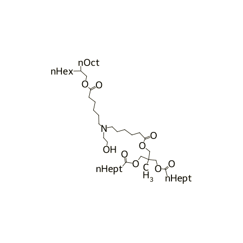 CCCCCCCCC(CCCCCC)COC(=O)CCCCCN(CCO)CCCCCC(=O)OCC(C)(COC(=O)CCCCCCC)COC(=O)CCCCCCC